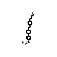 COc1ccc(C2CCC(CCC3CCC(CC/C=C/F)CC3)CC2)cc1